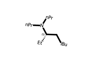 CCCN(CCC)[C@@H](CC)CC(C)CC